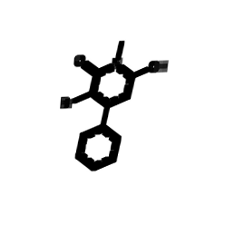 Cn1c(O)cc(-c2ccccc2)c(Br)c1=O